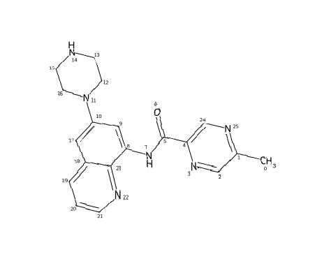 Cc1cnc(C(=O)Nc2cc(N3CCNCC3)cc3cccnc23)cn1